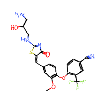 COc1cc(/C=C2/SC(NCC(O)CN)=NC2=O)ccc1Oc1ccc(C#N)cc1C(F)(F)F